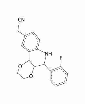 N#CCc1ccc2c(c1)C1OCCOC1C(c1ccccc1F)N2